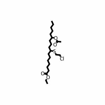 CCCCCC(CCCC(CCCCCCC(=O)OCC)SCCCl)OC(C)=O